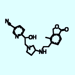 Cc1c(CCNC2CCN(CC(O)c3ccc(C#N)cn3)C2)ccc2c1COC2=O